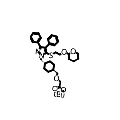 CC(C)(C)OC(=O)COC[C@H]1CC[C@H](Cn2nc(-c3ccccc3)c(-c3ccccc3)c2SCCOC2CCCCO2)CC1